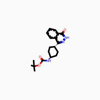 CC(C)(C)OC(=O)N[C@H]1CC[C@H](c2n[nH]c(=O)c3ccccc32)CC1